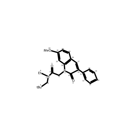 CCN(CC(C)(C)C)C(=O)Cn1c(=O)c(-c2ccccc2)cc2ccc(OC)cc21